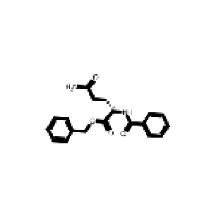 NC(=O)CC[C@H](NC(=O)c1ccccc1)C(=O)OCc1ccccc1